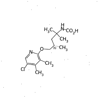 Cc1c(Cl)cnc(OC[C@@H](C)CC(C)(C)NC(=O)O)c1C